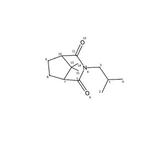 CC(C)CN1C(=O)C2CCC(C1=O)C2(C)C